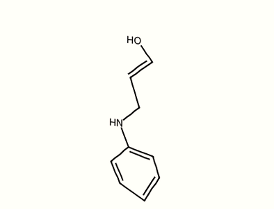 OC=CCNc1ccccc1